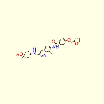 Cc1c(NC(=O)c2ccc(OC[C@H]3CCCO3)cc2)ccc2cc(CN[C@H]3CC[C@@](C)(O)CC3)cnc12